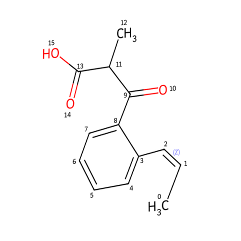 C/C=C\c1ccccc1C(=O)C(C)C(=O)O